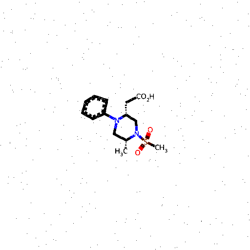 C[C@@H]1CN(c2ccccc2)[C@H](CC(=O)O)CN1S(C)(=O)=O